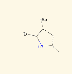 CCC1NC(C)CC1C(C)(C)C